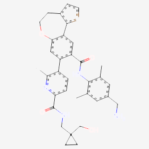 Cc1cc(CN)cc(C)c1NC(=O)c1cc2c(cc1-c1ccc(C(=O)NCC3(CO)CC3)nc1C(=O)O)OCCc1ccsc1-2